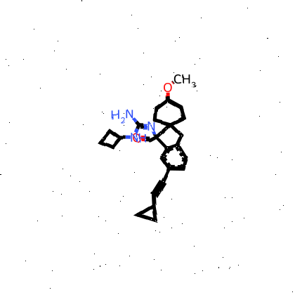 COC1CCC2(CC1)Cc1ccc(C#CC3CC3)cc1C2(C=O)/N=C(/N)NC1CCC1